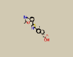 Cc1c(-c2ncc(-c3cccc(C#N)c3OC(C)C)s2)ccc2c1CC[C@@H]2CC(=O)O